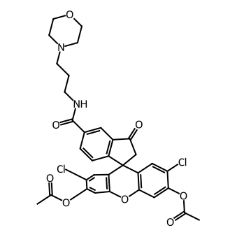 CC(=O)Oc1cc2c(cc1Cl)C1(CC(=O)c3cc(C(=O)NCCCN4CCOCC4)ccc31)c1cc(Cl)c(OC(C)=O)cc1O2